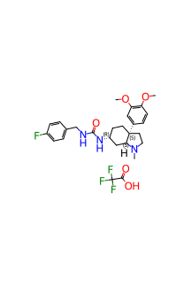 COc1ccc([C@@]23CC[C@@H](NC(=O)NCc4ccc(F)cc4)C[C@@H]2N(C)CC3)cc1OC.O=C(O)C(F)(F)F